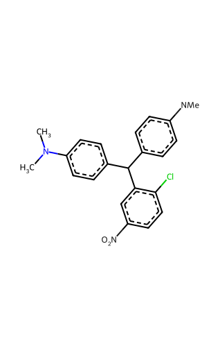 CNc1ccc(C(c2ccc(N(C)C)cc2)c2cc([N+](=O)[O-])ccc2Cl)cc1